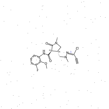 C#C/C(Cl)=N\N(C)C[C@H]1CN(C)C(=O)[C@@H]1C(=O)Nc1cccc(F)c1OC